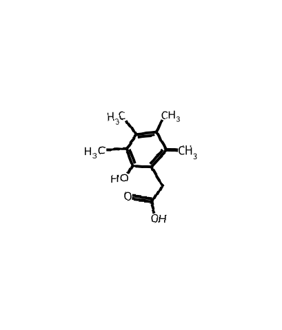 Cc1c(C)c(C)c(CC(=O)O)c(O)c1C